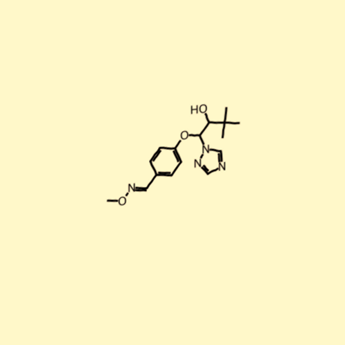 CON=Cc1ccc(OC(C(O)C(C)(C)C)n2cncn2)cc1